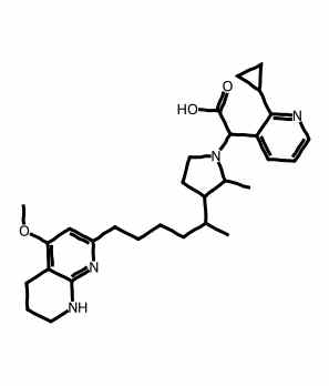 COc1cc(CCCCC(C)C2CCN(C(C(=O)O)c3cccnc3C3CC3)C2C)nc2c1CCCN2